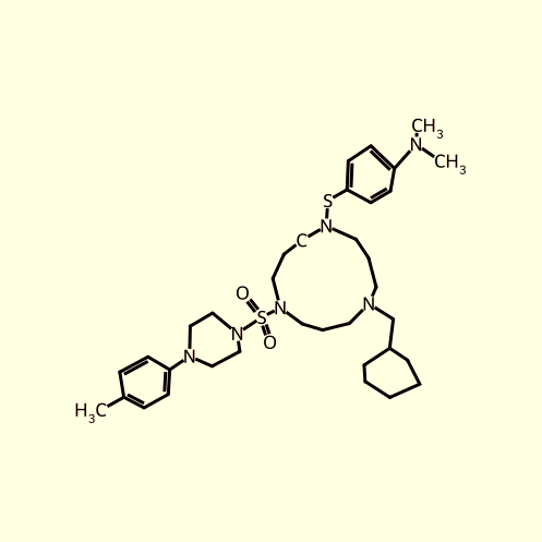 Cc1ccc(N2CCN(S(=O)(=O)N3CCCN(CC4CCCCC4)CCCN(Sc4ccc(N(C)C)cc4)CCC3)CC2)cc1